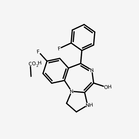 CC(=O)O.OC1=C2NCCN2c2ccc(F)cc2C(c2ccccc2F)=N1